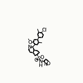 COc1cc(-c2ccc(Cl)c(C)c2)c(C)cc1-c1nccc2cc(S(=O)(=O)Nc3ccon3)ccc12